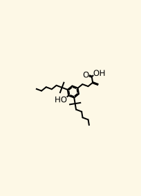 C=C(CCc1cc(C(C)(C)CCCCC)c(O)c(C(C)(C)CCCCC)c1)C(=O)O